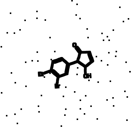 CCc1ccc(C2C(=O)C=CC2O)cc1Br